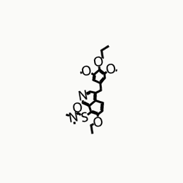 CCCOc1c(OC)cc(Cc2cncc3c(SC(=O)N(C)C)c(OCC)ccc23)cc1OC